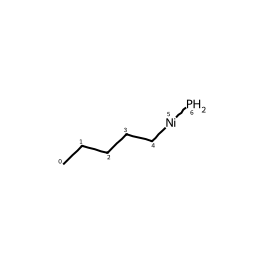 CCCC[CH2][Ni][PH2]